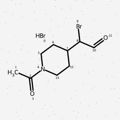 Br.CC(=O)N1CCC(C(Br)C=O)CC1